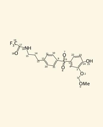 COCOc1cc(S(=O)(=O)c2ccc(CCCNC(=O)C(F)(F)F)cc2)ccc1O